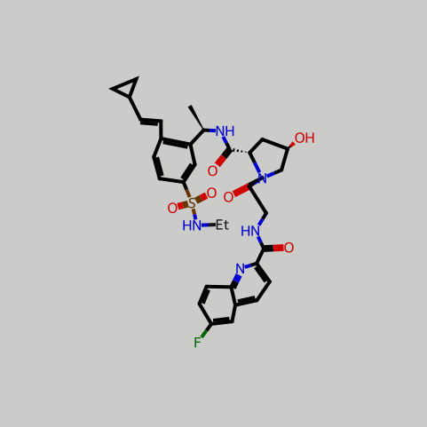 CCNS(=O)(=O)c1ccc(/C=C/C2CC2)c([C@@H](C)NC(=O)[C@@H]2C[C@@H](O)CN2C(=O)CNC(=O)c2ccc3cc(F)ccc3n2)c1